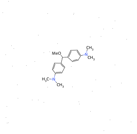 COC(c1ccc(N(C)C)cc1)c1ccc(N(C)C)cc1